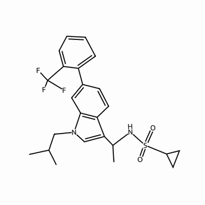 CC(C)Cn1cc(C(C)NS(=O)(=O)C2CC2)c2ccc(-c3ccccc3C(F)(F)F)cc21